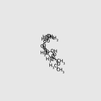 CCC[C@@H](C)[C@H]1O[C@@H]1C[C@H](C)/C=C/C=C(\C)[C@H]1OC(=O)C[C@H](O)CC[C@@](C)(OC(=O)N2CCN(C(=O)OCc3ccc(NC(=O)[C@H](CC(N)=O)NC)cc3)CC2)C/C=C/[C@@H]1C